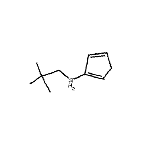 CC(C)(C)C[SiH2]C1=[C]CC=C1